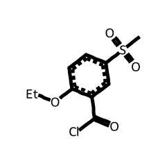 CCOc1ccc(S(C)(=O)=O)cc1C(=O)Cl